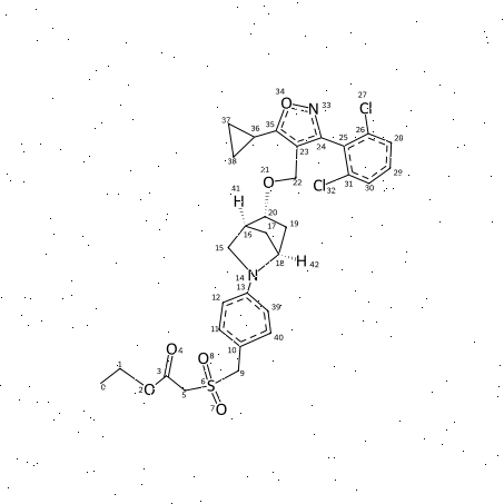 CCOC(=O)CS(=O)(=O)Cc1ccc(N2C[C@@H]3C[C@H]2C[C@H]3OCc2c(-c3c(Cl)cccc3Cl)noc2C2CC2)cc1